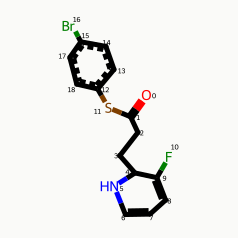 O=C(CCC1NC=CC=C1F)Sc1ccc(Br)cc1